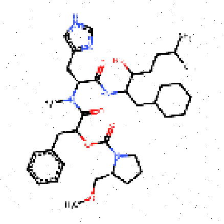 COC[C@@H]1CCCN1C(=O)OC(Cc1ccccc1)C(=O)N(C)[C@@H](Cc1c[nH]cn1)C(=O)NC(CC1CCCCC1)C(O)CCC(C)C